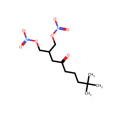 CC(C)(C)CCCC(=O)CC(CO[N+](=O)[O-])CO[N+](=O)[O-]